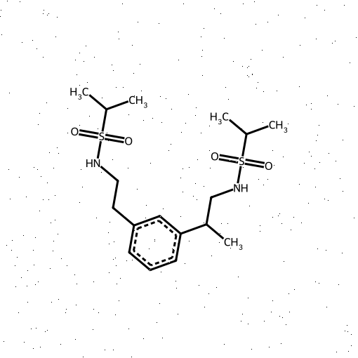 CC(CNS(=O)(=O)C(C)C)c1cccc(CCNS(=O)(=O)C(C)C)c1